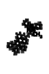 CC/C(=C\C=C/Cc1cccc(-c2cc(-c3ccccc3)c(-c3ccccc3)c(-c3ccccc3)c2-c2ccccc2)c1)c1nc(-c2ccccc2)nc(-c2ccccc2)n1